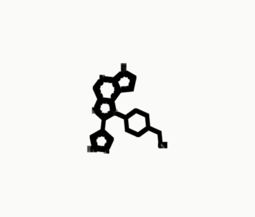 N#CCC1CCC(n2c(-c3cn[nH]c3)nc3cnc4[nH]ccc4c32)CC1